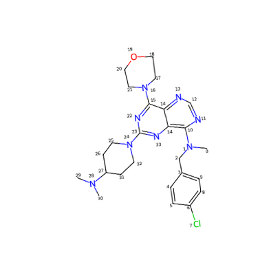 CN(Cc1ccc(Cl)cc1)c1ncnc2c(N3CCOCC3)nc(N3CCC(N(C)C)CC3)nc12